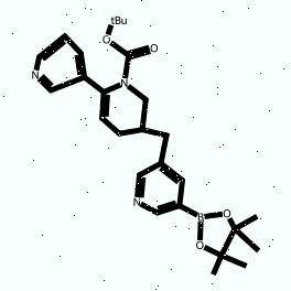 CC(C)(C)OC(=O)N1CC(Cc2cncc(B3OC(C)(C)C(C)(C)O3)c2)CC=C1c1cccnc1